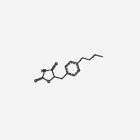 CCCCc1ccc(CC2OC(=O)NC2=O)cc1